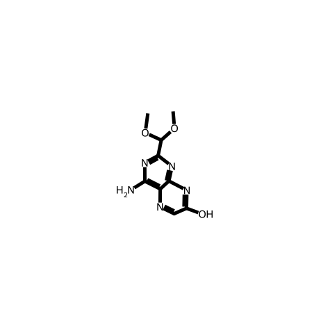 COC(OC)c1nc(N)c2ncc(O)nc2n1